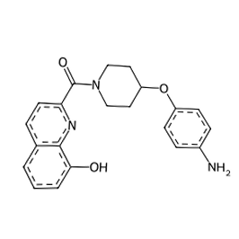 Nc1ccc(OC2CCN(C(=O)c3ccc4cccc(O)c4n3)CC2)cc1